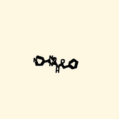 O=C(Cc1ccccc1)Nc1nc(-c2ccncc2)no1